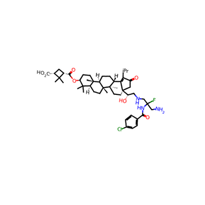 CC(C)C1=C2[C@H]3CC[C@@H]4[C@@]5(C)CC[C@H](OC(=O)[C@H]6C[C@@H](C(=O)O)C6(C)C)C(C)(C)[C@@H]5CC[C@@]4(C)[C@]3(C)CC[C@@]2([C@@H](O)CNCC(F)(CN)NC(=O)c2ccc(Cl)cc2)CC1=O